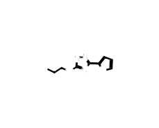 CCCOc1nc(-c2cccs2)n[nH]1